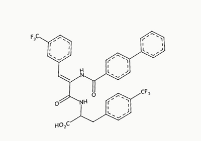 O=C(NC(Cc1ccc(C(F)(F)F)cc1)C(=O)O)C(=Cc1cccc(C(F)(F)F)c1)NC(=O)c1ccc(-c2ccccc2)cc1